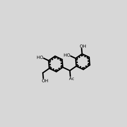 CC(=O)C(c1ccc(O)c(CO)c1)c1cccc(O)c1O